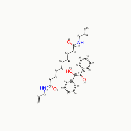 C=CCNC(=O)CCCCCCCCC(=O)NCC=C.O=C(c1ccccc1)C(O)c1ccccc1